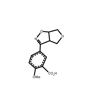 COc1ccc(C2=NOC3COCC23)cc1C(=O)O